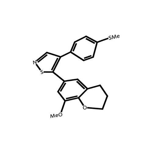 COc1cc(-c2sncc2-c2ccc(SC)cc2)cc2c1OCCC2